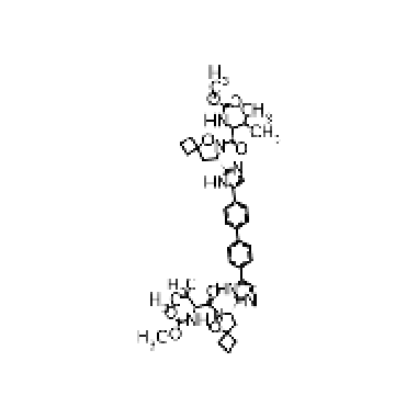 COC(=O)NC(C(=O)N1OC2(CCC2)C[C@H]1c1ncc(-c2ccc(-c3ccc(-c4cnc([C@@H]5CC6(CCC6)ON5C(=O)[C@@H](NC(=O)OC)C(C)C)[nH]4)cc3)cc2)[nH]1)C(C)C